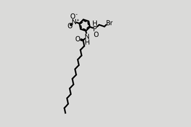 CCCCCCCCCCCCCCCC(=O)Nc1cc([N+](=O)[O-])ccc1[PH](=O)CCBr